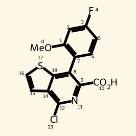 COc1cc(F)ccc1-c1c(C(=O)O)nc(Cl)c2ccsc12